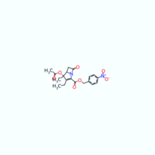 CCC1=C(C(=O)OCc2ccc([N+](=O)[O-])cc2)N2C(=O)CC2C1(C)OC(C)=O